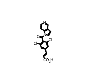 O=C(O)/C=C/c1cc(Cl)c(C(=O)n2ccc3cnccc32)c(Cl)c1